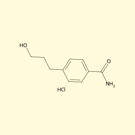 Cl.NC(=O)c1ccc(CCCO)cc1